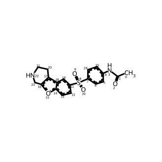 CC(=O)Nc1ccc(S(=O)(=O)c2ccc3oc4c(c3c2)CCNC4)cc1